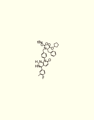 Cc1cc(C(=N)c2ccc(=O)n(-c3ccc(CN(C(=O)OC(C)(C)C)C(Cc4ccccc4)C(=O)OC4CCCC4)cc3)c2N)ccc1F